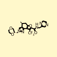 C[C@H]1Cc2oc(C(=O)NCc3cnccn3)c(C(F)(F)F)c2-c2nn(C[C@H]3COCCO3)cc21